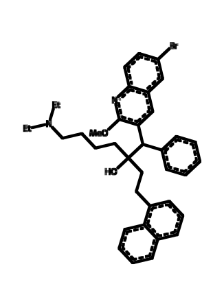 CCN(CC)CCCCC(O)(CCc1cccc2ccccc12)C(c1ccccc1)c1cc2cc(Br)ccc2nc1OC